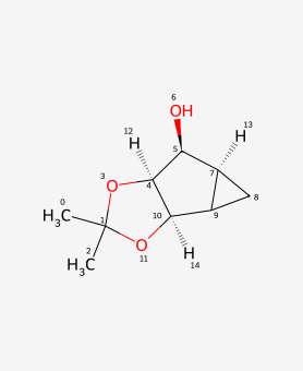 CC1(C)O[C@H]2[C@@H](O)[C@H]3CC3[C@H]2O1